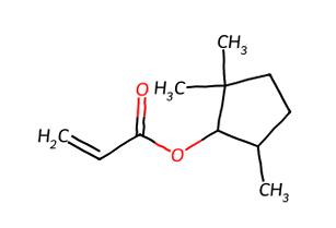 C=CC(=O)OC1C(C)CCC1(C)C